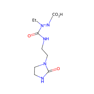 CC[N+](=NC(=O)O)C(=O)NCCN1CCNC1=O